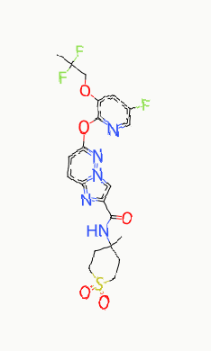 CC(F)(F)COc1cc(F)cnc1Oc1ccc2nc(C(=O)NC3(C)CCS(=O)(=O)CC3)cn2n1